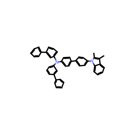 Cc1c(C)n(-c2ccc(-c3ccc(N(c4cccc(-c5ccccc5)c4)c4cccc(-c5ccccc5)c4)cc3)cc2)c2ccccc12